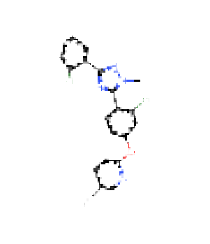 Cn1nc(-c2ccccc2Cl)nc1-c1ccc(Oc2ccc(C(F)(F)F)cn2)cc1Cl